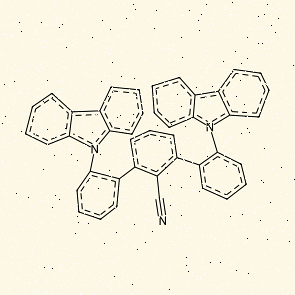 N#Cc1c(-c2ccccc2-n2c3ccccc3c3ccccc32)cccc1-c1ccccc1-n1c2ccccc2c2ccccc21